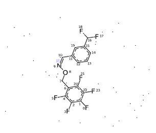 Fc1c(F)c(F)c(CO/N=[C]\c2cccc(C(F)F)c2)c(F)c1F